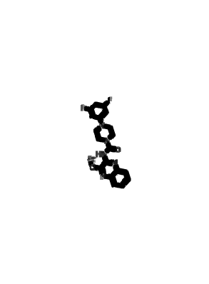 CCOc1nc2ccccc2nc1NC(=O)N1CCN(c2cc(F)cc(F)c2)CC1